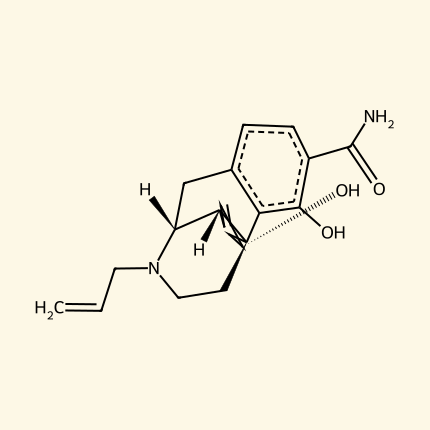 C=CCN1CC[C@]23C[C@@H](O)C=C[C@H]2[C@H]1Cc1ccc(C(N)=O)c(O)c13